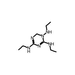 CCNC1=NCN(NCC)C(NCC)=N1